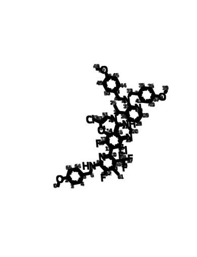 COc1ccc(CNc2nc(-c3c(F)c4c5c(c3Cl)=NCNC=5N(C(C)c3cccnc3N(Cc3ccc(OC)cc3)Cc3ccc(OC)cc3)C=C(Cl)O4)c(C(F)(F)F)c(C)c2F)cc1